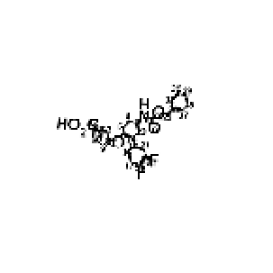 O=C(Nc1ccc(O[C@H]2CCN(C(=O)O)C2)c(-c2ccc(F)c(F)c2)c1)OCc1ccccc1